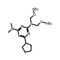 CCCCOCN(COCCCC)c1nc(C2CCCC2)nc(N(C)C)n1